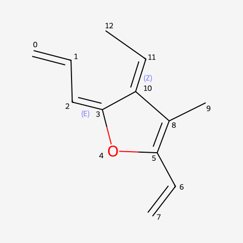 C=C/C=c1/oc(C=C)c(C)/c1=C/C